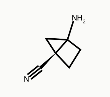 N#C[C@]12CCC1(N)C2